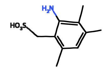 Cc1cc(C)c(CS(=O)(=O)O)c(N)c1C